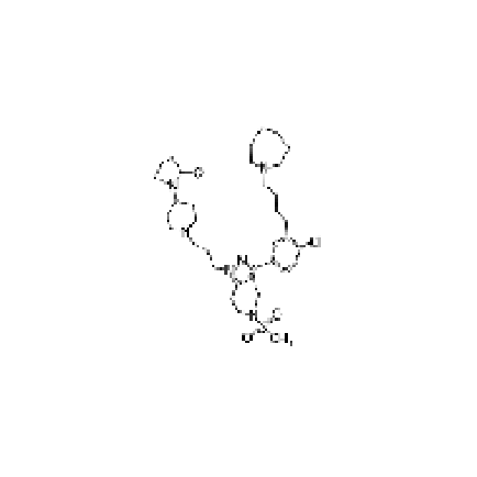 CS(=O)(=O)N1CCc2c(c(-c3ccc(Cl)c(CCCCN4CCCCCC4)c3)nn2CCCN2CCC(N3CCCC3=O)CC2)C1